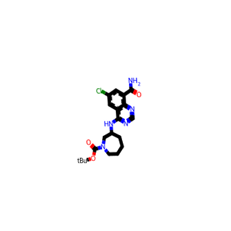 CC(C)(C)OC(=O)N1CCCCC(Nc2ncnc3c(C(N)=O)cc(Cl)cc23)C1